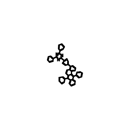 c1ccc(-c2nc(-c3ccccc3)nc(-c3ccc(-c4cccc5c4ccc4c(-c6ccccc6)c6ccccc6c(-c6ccccc6)c45)cc3)n2)cc1